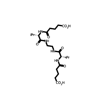 CC(C)[C@H](NC(=O)CCCC(=O)O)C(=O)NCCNC(=O)[C@@H](NC(=O)CCCC(=O)O)C(C)C